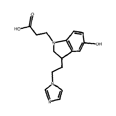 O=C(O)CCN1CC(CCn2ccnc2)c2cc(O)ccc21